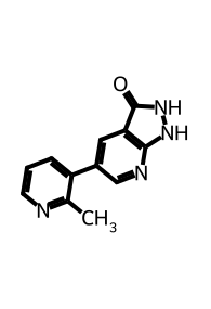 Cc1ncccc1-c1cnc2[nH][nH]c(=O)c2c1